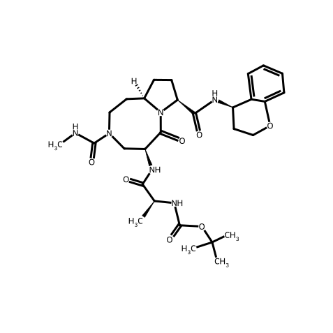 CNC(=O)N1CC[C@H]2CC[C@@H](C(=O)N[C@@H]3CCOc4ccccc43)N2C(=O)[C@@H](NC(=O)[C@H](C)NC(=O)OC(C)(C)C)C1